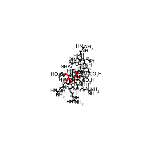 CC(=O)N[C@@H](CO)C(=O)N[C@@H](CCCNC(=N)N)C(=O)N[C@@H](CC(C)C)C(=O)N[C@@H](CCC(=O)O)C(=O)N[C@@H](CCC(=O)O)C(=O)N[C@@H](CCC(=O)O)C(=O)N[C@@H](CC(C)C)C(=O)N[C@@H](CCCNC(=N)N)C(=O)N[C@@H](CCCNC(=N)N)C(=O)N[C@@H](CCCNC(=N)N)C(=O)N[C@@H](CC(C)C)C(=O)N[C@H](C(=O)N[C@@H](CCC(=O)O)C(N)=O)[C@@H](C)O